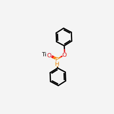 O=[PH](Oc1ccccc1)c1ccccc1.[Ti]